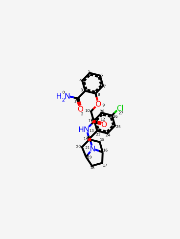 NC(=O)c1ccccc1OCC(=O)NC1CC2CCC(C1)N2Cc1ccc(Cl)cc1